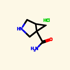 Cl.NC(=O)C12CNCC1C2